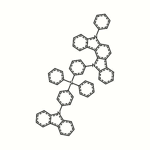 c1ccc(-n2c3ccccc3c3c2ccc2c4ccccc4n(-c4cccc([Si](c5ccccc5)(c5ccccc5)c5ccc(-n6c7ccccc7c7ccccc76)cc5)c4)c23)cc1